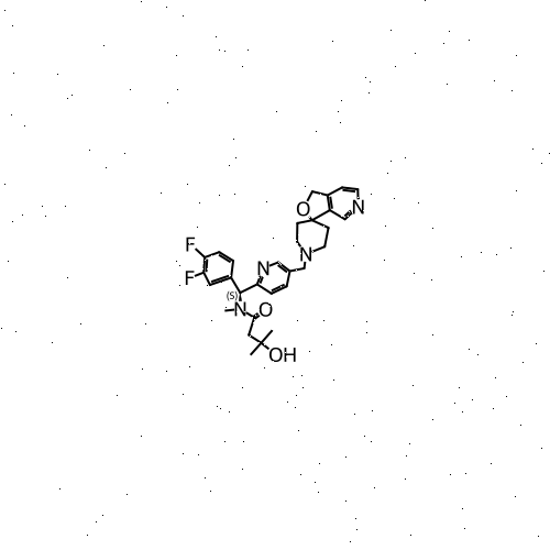 CN(C(=O)CC(C)(C)O)[C@@H](c1ccc(F)c(F)c1)c1ccc(CN2CCC3(CC2)OCc2ccncc23)cn1